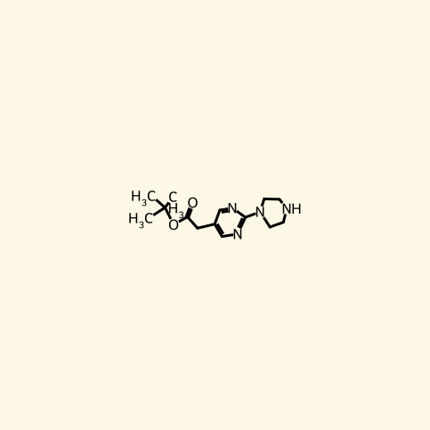 CC(C)(C)OC(=O)Cc1cnc(N2CCNCC2)nc1